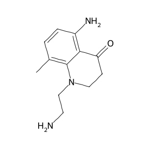 Cc1ccc(N)c2c1N(CCN)CCC2=O